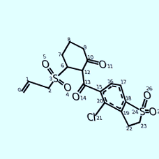 C=CCS(=O)(=O)C1CCCC(=O)C1C(=O)c1ccc2c(c1Cl)CCS2(=O)=O